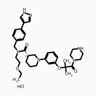 CCOCCN(Cc1ccc(-c2cn[nH]c2)cc1)C(=O)[C@H]1CCCN(c2cccc(OC(C)(C)C(=O)N3CCNCC3)c2)C1.Cl